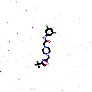 CC(C)(C)c1coc(CN2CCN(CC(=O)Nc3cc(F)cc(Cl)c3)CC2)n1